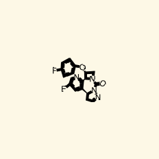 C[C@H]1[C@@H](Oc2ccc(F)cc2)CN1C(=O)N1N=CC[C@H]1c1cncc(F)c1